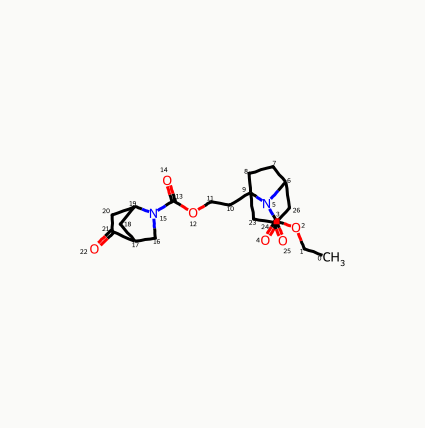 CCOC(=O)N1C2CCC1(CCOC(=O)N1CC3CC1CC3=O)CC(=O)C2